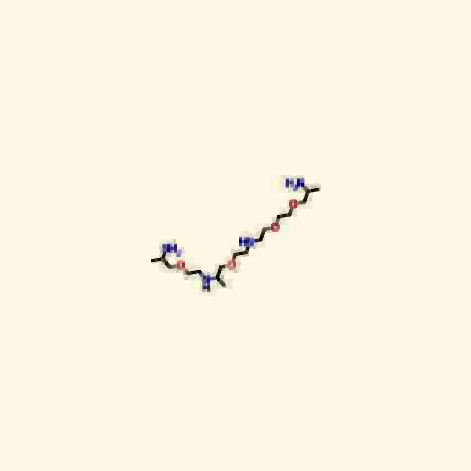 CC(N)COCCNC(C)COCCNCCOCCOCC(C)N